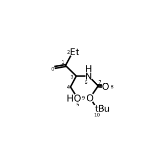 C=C(CC)C(CO)NC(=O)OC(C)(C)C